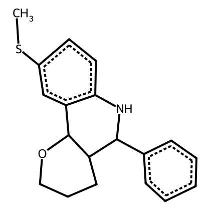 CSc1ccc2c(c1)C1OCCCC1C(c1ccccc1)N2